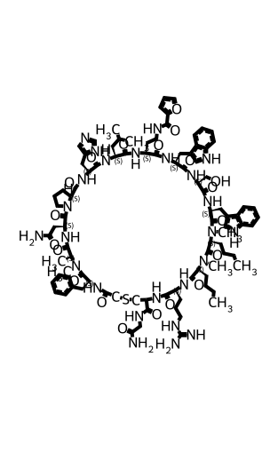 CCCC[C@H]1C(=O)N(C)[C@@H](CCCC)C(=O)N[C@@H](CCCNC(=N)N)C(=O)NC(C(=O)NCC(N)=O)CSCC(=O)N[C@@H](Cc2ccccc2)C(=O)N(C)[C@@H](C)C(=O)N[C@@H](CC(N)=O)C(=O)N2CCC[C@H]2C(=O)N[C@@H](Cc2cnc[nH]2)C(=O)N[C@@H](CC(C)C)C(=O)N[C@@H](CCNC(=O)c2ccco2)C(=O)N[C@@H](Cc2c[nH]c3ccccc23)C(=O)N[C@@H](CO)C(=O)N[C@@H](Cc2c[nH]c3ccccc23)C(=O)N1C